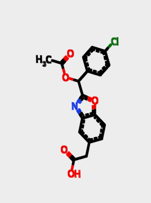 CC(=O)OC(c1ccc(Cl)cc1)c1nc2cc(CC(=O)O)ccc2o1